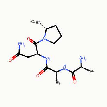 CC(C)[C@H](N)C(=O)N[C@H](C(=O)N[C@@H](CC(N)=O)C(=O)N1CCC[C@H]1[C]=O)C(C)C